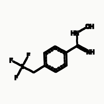 N=C(NO)c1ccc(CS(F)(F)F)cc1